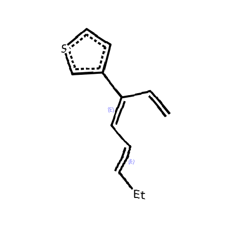 C=C/C(=C\C=C\CC)c1ccsc1